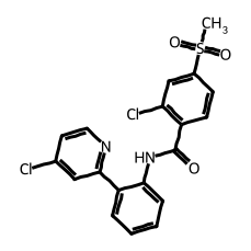 CS(=O)(=O)c1ccc(C(=O)Nc2ccccc2-c2cc(Cl)ccn2)c(Cl)c1